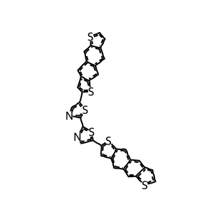 c1cc2cc3cc4sc(-c5cnc(-c6ncc(-c7cc8cc9cc%10sccc%10cc9cc8s7)s6)s5)cc4cc3cc2s1